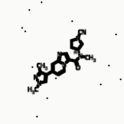 Cc1nn(C)cc1-c1ccn2c(C(=O)N(C)[C@@H]3CCN(C#N)C3)cnc2c1